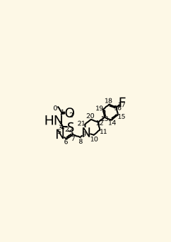 CC(=O)Nc1ncc(CN2CCC(c3ccc(F)cc3)CC2)s1